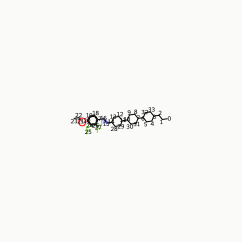 CCCC1CCC(C2CCC(C3CCC(/C=C/c4ccc(OCC)c(F)c4F)CC3)CC2)CC1